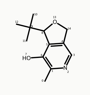 Cc1ncc2c(c1O)C(C(C)(C)C)OC2